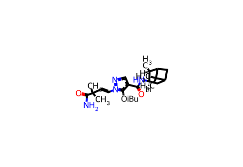 CC(C)COc1c(C(=O)N[C@@H]2CC3CC([C@H]2C)C3(C)C)cnn1/C=C/C(C)(C)C(N)=O